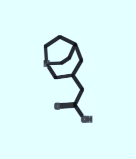 O=C(O)CC1CC2CCN(CC2)C1